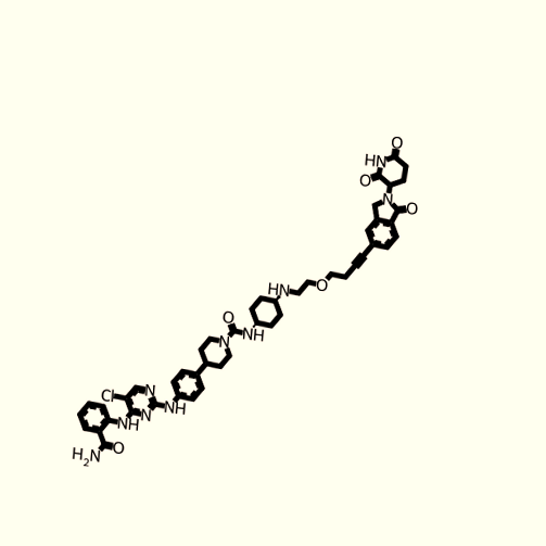 NC(=O)c1ccccc1Nc1nc(Nc2ccc(C3CCN(C(=O)N[C@H]4CC[C@H](NCCOCCC#Cc5ccc6c(c5)CN(C5CCC(=O)NC5=O)C6=O)CC4)CC3)cc2)ncc1Cl